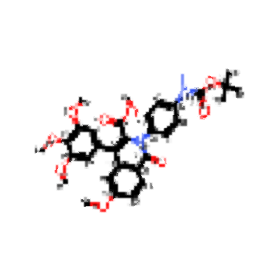 COC(=O)c1c(-c2cc(OC)c(OC)c(OC)c2)c2cc(OC)ccc2c(=O)n1-c1ccc(NC(=O)OC(C)(C)C)cc1